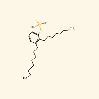 CCCCCCCCc1cccc(SP(O)(O)=S)c1CCCCCCCC